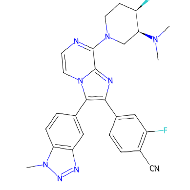 CN(C)[C@H]1CN(c2nccn3c(-c4ccc5c(c4)nnn5C)c(-c4ccc(C#N)c(F)c4)nc23)CC[C@H]1F